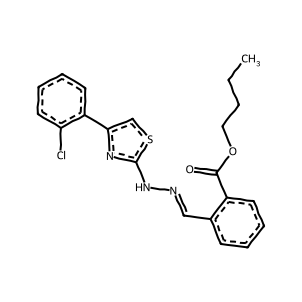 CCCCOC(=O)c1ccccc1/C=N/Nc1nc(-c2ccccc2Cl)cs1